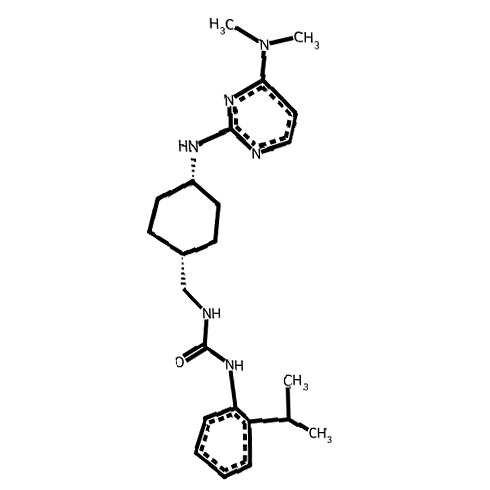 CC(C)c1ccccc1NC(=O)NC[C@H]1CC[C@@H](Nc2nccc(N(C)C)n2)CC1